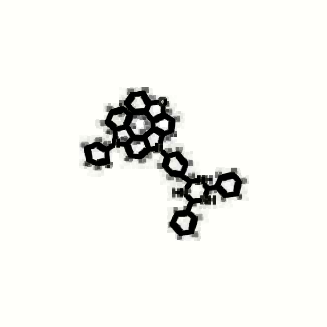 c1ccc(C2NC(c3ccccc3)NC(c3ccc(-n4c5ccc6oc7ccccc7c6c5c5c6c7ccccc7n(-c7ccccc7)c6ccc54)cc3)N2)cc1